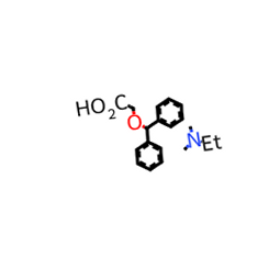 CCN(C)C.O=C(O)COC(c1ccccc1)c1ccccc1